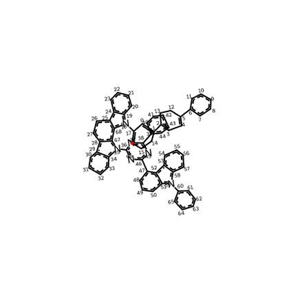 C1=C(C2=CC=C(c3ccccc3)CC2)CCC=C1n1c2ccccc2c2ccc3c4ccccc4n(-c4nc(-c5ccccc5)nc(-c5cccc6c5c5ccccc5n6-c5ccccc5)n4)c3c21